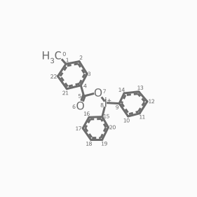 Cc1ccc(C(=O)O[I+](c2ccccc2)c2ccccc2)cc1